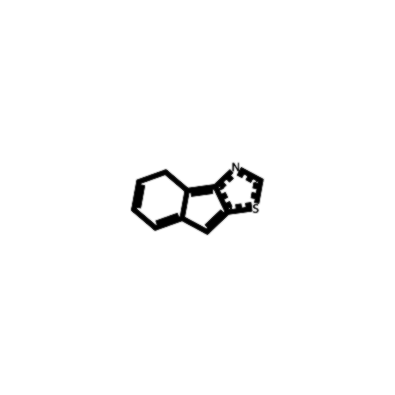 C1=CCC2=c3ncsc3=CC2=C1